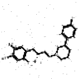 N[C@@H](CCN1CCCC(c2ccc(F)cc2)C1)Cc1cc(F)c(F)cc1F